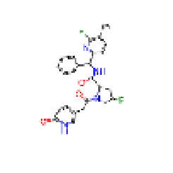 CC(C)c1ccc(C(NC(=O)C2CC(F)CN2C(=O)Cc2ccc(=O)[nH]c2)c2ccccc2)nc1F